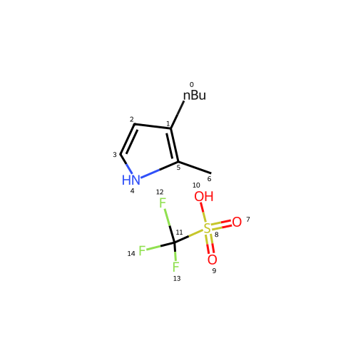 CCCCc1cc[nH]c1C.O=S(=O)(O)C(F)(F)F